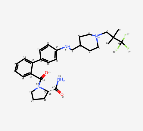 CC(C)(CN1CCC(CNc2ccc(-c3ccccc3C(=O)N3CCC[C@H]3C(N)=O)cc2)CC1)C(F)(F)F